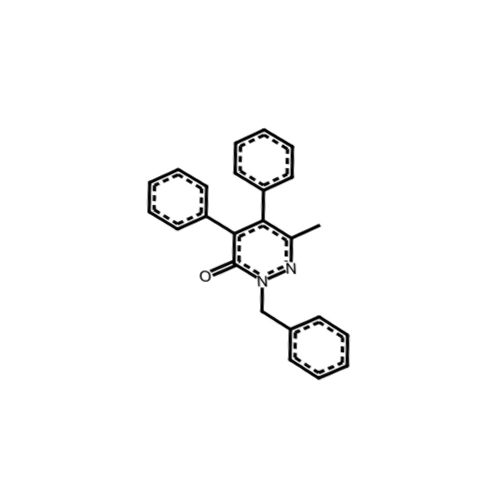 Cc1nn(Cc2ccccc2)c(=O)c(-c2ccccc2)c1-c1ccccc1